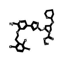 CC(C)(C)OC(=O)N1CC(OC2CCCCO2)C[C@H]1Cn1cc(-c2cnc(N)c(OCCc3c(Cl)ccc(F)c3Cl)c2)cn1